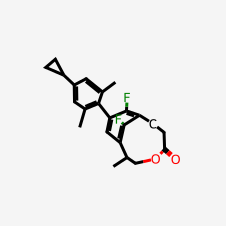 Cc1cc(C2CC2)cc(C)c1-c1cc2c(F)c(c1F)CCC(=O)OCC2C